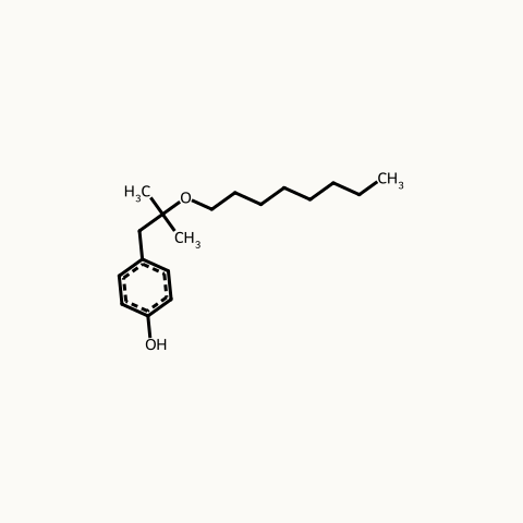 CCCCCCCCOC(C)(C)Cc1ccc(O)cc1